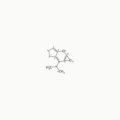 CC(C)C1=C2CCC=C2OC2=C1O2